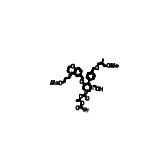 COCCCN1CCOc2ccc(CO[C@H]3CN(C(=O)OC(C)OC(=O)C(C)C)C[C@@H](CO)[C@@H]3c3ccc(COC[C@@H](C)COC)cc3)cc21